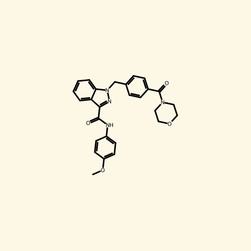 COc1ccc(NC(=O)c2nn(Cc3ccc(C(=O)N4CCOCC4)cc3)c3ccccc23)cc1